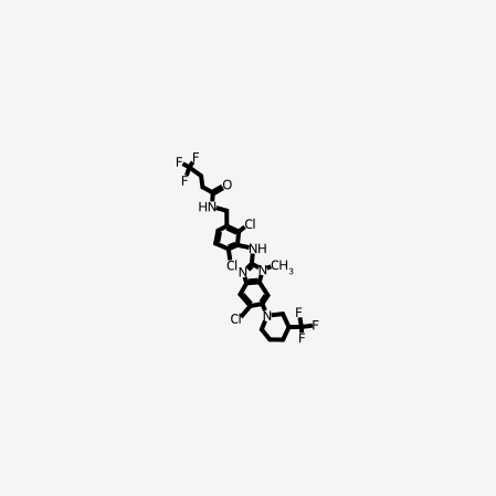 Cn1c(Nc2c(Cl)ccc(CNC(=O)CCC(F)(F)F)c2Cl)nc2cc(Cl)c(N3CCCC(C(F)(F)F)C3)cc21